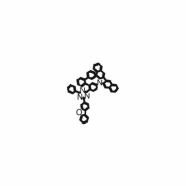 c1ccc(-c2nc(-c3ccc4c(c3)oc3ccccc34)nc(-c3ccc(-n4c5cc6ccccc6cc5c5cc6ccccc6cc54)cc3-c3ccccc3-c3ccccc3)n2)cc1